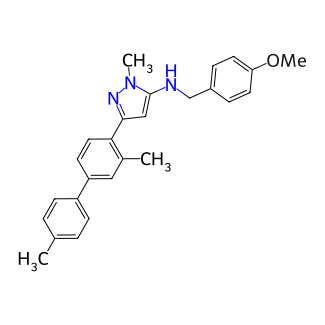 COc1ccc(CNc2cc(-c3ccc(-c4ccc(C)cc4)cc3C)nn2C)cc1